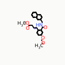 COCOc1ccc(/C=C/CC(=O)OC)c(C(=O)NCc2ccc3ccccc3c2)c1